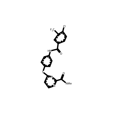 CNC(=O)c1nccc(Sc2ccc(NC(=O)c3ccc(Cl)c(C(F)(F)F)c3)cc2)n1